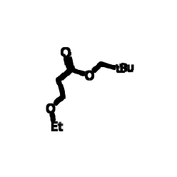 CCOCCC(=O)OCC(C)(C)C